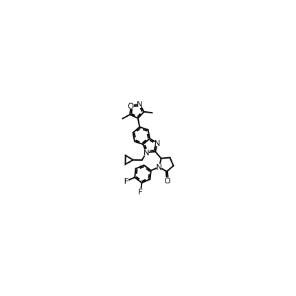 Cc1noc(C)c1-c1ccc2c(c1)nc(C1CCC(=O)N1c1ccc(F)c(F)c1)n2CC1CC1